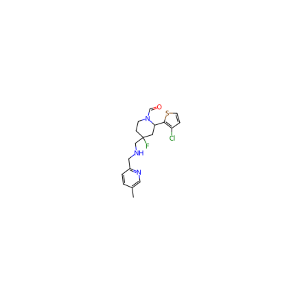 Cc1ccc(CNCC2(F)CCN(C=O)C(c3sccc3Cl)C2)nc1